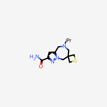 CC(C)N1Cc2cc(C(N)=O)nn2CC2(CSC2)C1